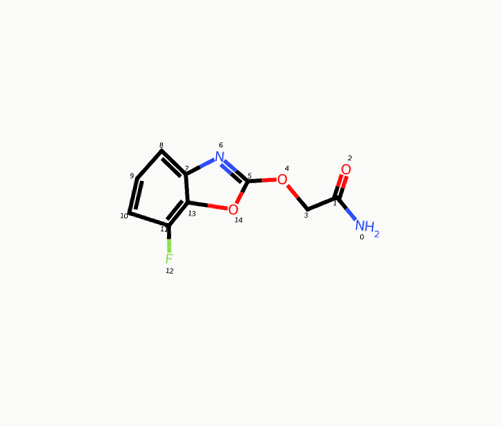 NC(=O)COc1nc2cccc(F)c2o1